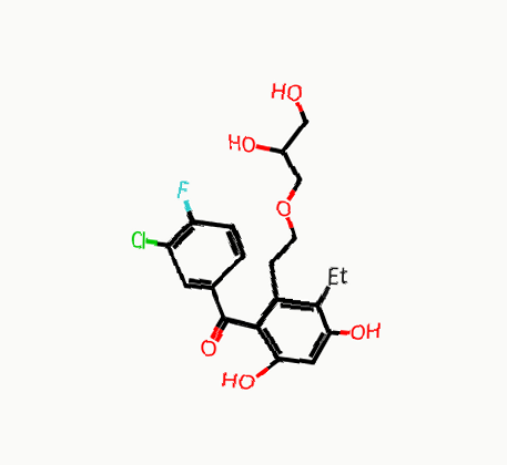 CCc1c(O)cc(O)c(C(=O)c2ccc(F)c(Cl)c2)c1CCOCC(O)CO